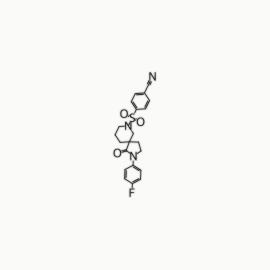 N#Cc1ccc(S(=O)(=O)N2CCCC3(CCN(c4ccc(F)cc4)C3=O)C2)cc1